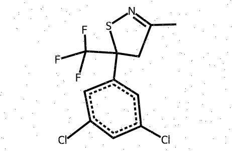 CC1=NSC(c2cc(Cl)cc(Cl)c2)(C(F)(F)F)C1